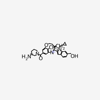 C=C1CCOc2cc(C(=O)N3CCC[C@@H](N)C3)cc(c2C)/N=C\1c1cc2ccc(CO)cc2n1CC1CC1